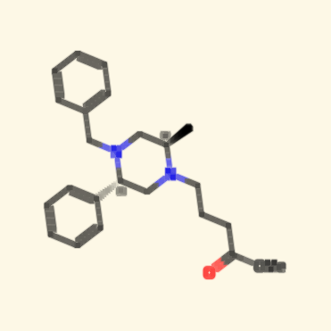 COC(=O)CCCN1C[C@H](c2ccccc2)N(Cc2ccccc2)C[C@H]1C